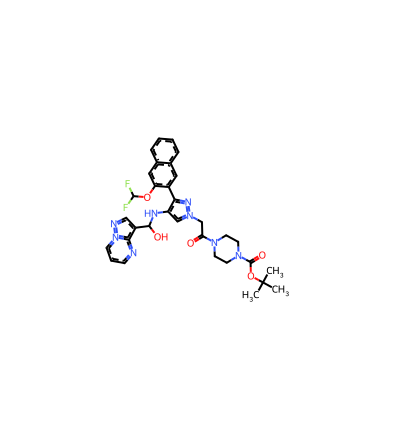 CC(C)(C)OC(=O)N1CCN(C(=O)Cn2cc(NC(O)c3cnn4cccnc34)c(-c3cc4ccccc4cc3OC(F)F)n2)CC1